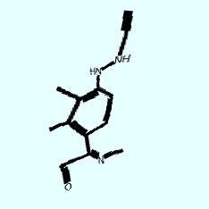 C#CNNc1ccc(/C(C=O)=N\C)c(C)c1C